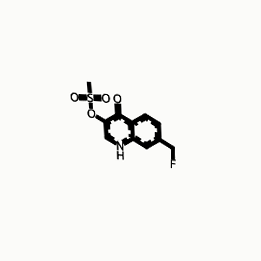 CS(=O)(=O)Oc1c[nH]c2cc(CF)ccc2c1=O